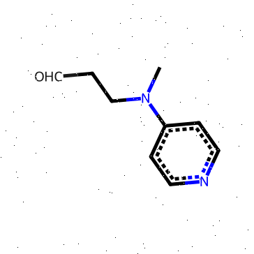 CN(CCC=O)c1ccncc1